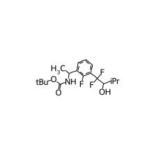 CC(NC(=O)OC(C)(C)C)c1cccc(C(F)(F)C(O)C(C)C)c1F